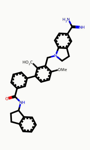 COc1ccc(-c2cccc(C(=O)NC3CCc4ccccc43)c2)c(C(=O)O)c1CN1CCc2cc(C(=N)N)ccc21